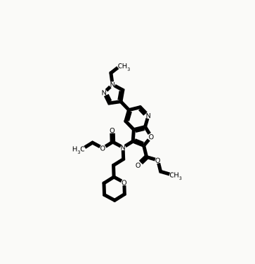 CCOC(=O)c1oc2ncc(-c3cnn(CC)c3)cc2c1N(CCC1CCCCO1)C(=O)OCC